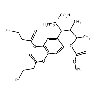 CCCCOC(=O)OC(C)C(C)C(c1ccc(OC(=O)CCC(C)C)c(OC(=O)CCC(C)C)c1)[C@H](N)C(=O)O